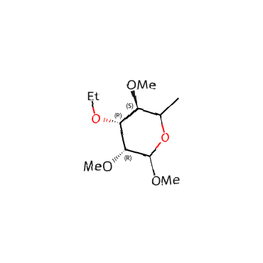 CCO[C@@H]1[C@@H](OC)C(C)OC(OC)[C@@H]1OC